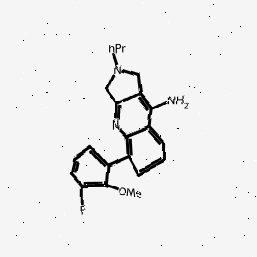 CCCN1Cc2nc3c(-c4cccc(F)c4OC)cccc3c(N)c2C1